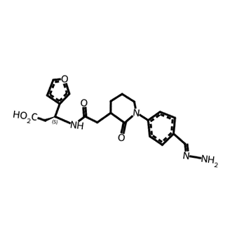 NN=Cc1ccc(N2CCCC(CC(=O)N[C@@H](CC(=O)O)c3ccoc3)C2=O)cc1